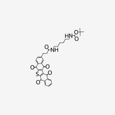 CC(C)(C)OC(=O)NCCCCCCNC(=O)CCc1ccc2c(=O)c3sc4c(=O)c5ccccc5c(=O)c4c3c(=O)c2c1